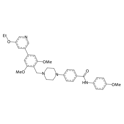 CCOc1cncc(-c2cc(OC)c(CN3CCN(c4ccc(C(=O)Nc5ccc(OC)cc5)cc4)CC3)c(OC)c2)c1